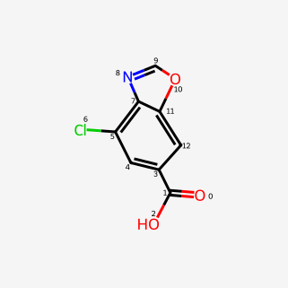 O=C(O)c1cc(Cl)c2ncoc2c1